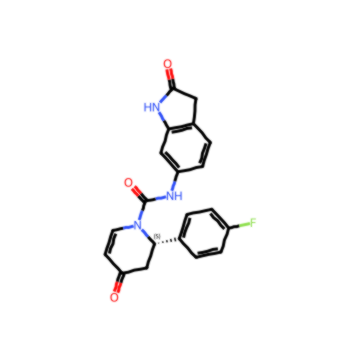 O=C1C=CN(C(=O)Nc2ccc3c(c2)NC(=O)C3)[C@H](c2ccc(F)cc2)C1